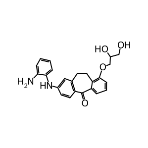 Nc1ccccc1Nc1ccc2c(c1)CCc1c(OCC(O)CO)cccc1C2=O